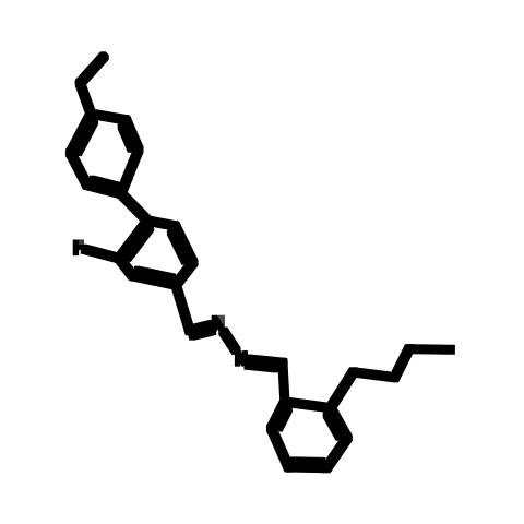 CCCCc1ccccc1C=NN=Cc1ccc(-c2ccc(CC)cc2)c(F)c1